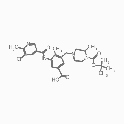 Cc1ncc(C(=O)Nc2cc(C(=O)O)cc(CN3CCN(C(=O)OC(C)(C)C)C(C)C3)c2C)cc1Cl